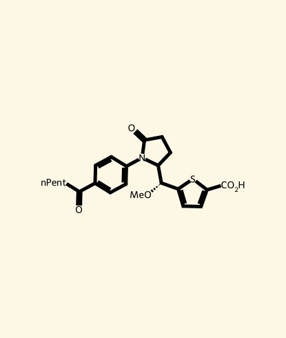 CCCCCC(=O)c1ccc(N2C(=O)CCC2[C@@H](OC)c2ccc(C(=O)O)s2)cc1